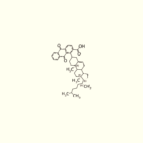 CC(C)CCC[C@@H](C)[C@H]1CCC2C3CC=C4CC(c5c(C(=O)O)ccc6c5C(=O)c5ccccc5C6=O)CC[C@]4(C)C3CC[C@@]21C